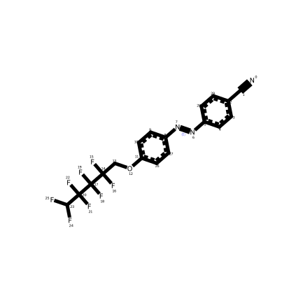 N#Cc1ccc(/N=N/c2ccc(OCC(F)(F)C(F)(F)C(F)(F)C(F)F)cc2)cc1